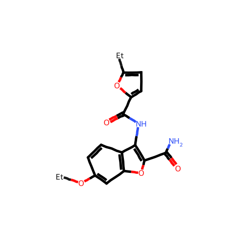 CCOc1ccc2c(NC(=O)c3ccc(CC)o3)c(C(N)=O)oc2c1